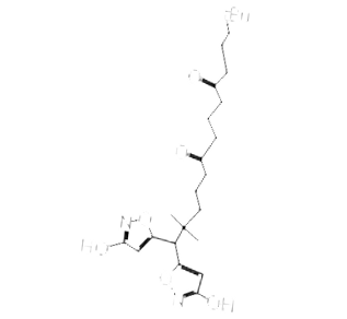 CC(C)(C)CCCC(=O)CCCC(=O)CCCC(C)(C)C(c1cc(O)no1)c1cc(O)no1